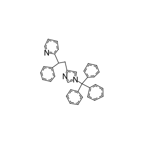 c1ccc(C(Cc2cn(C(c3ccccc3)(c3ccccc3)c3ccccc3)cn2)c2ccccn2)cc1